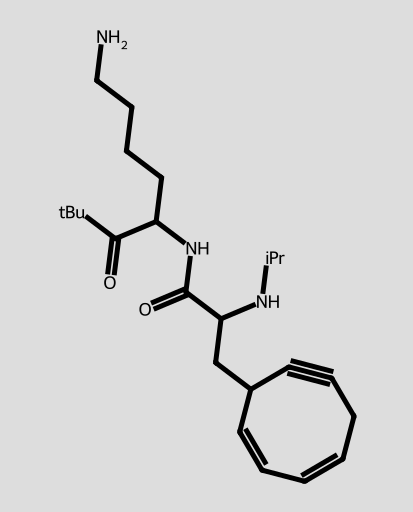 CC(C)NC(CC1C#CC/C=C\C=C/1)C(=O)NC(CCCCN)C(=O)C(C)(C)C